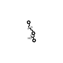 CN(CCc1ccccc1)C(=O)CCc1ccc(CC(C(=O)O)c2ccccc2)cc1